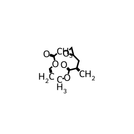 C=C(CC1CO1)C(=O)OC.C=COC(C)=O